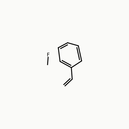 C=Cc1ccccc1.CF